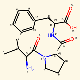 CC(C)[C@H](N)C(=O)N1CCC[C@H]1C(=O)N[C@@H](Cc1ccccc1)C(=O)O